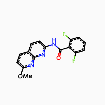 COc1ccc2ccc(NC(=O)c3c(F)cccc3F)nc2n1